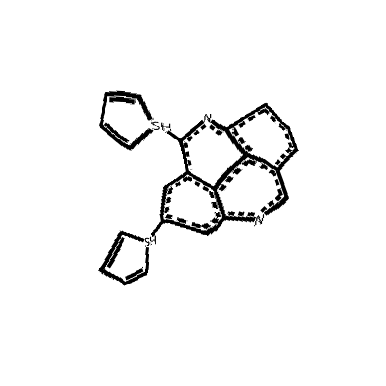 C1=C[SH](c2cc3ncc4cccc5nc([SH]6C=CC=C6)c(c2)c3c45)C=C1